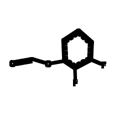 O=COc1cccc(F)c1F